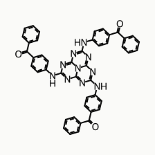 O=C(c1ccccc1)c1ccc(NC2=NC3=NC(Nc4ccc(C(=O)c5ccccc5)cc4)=NC4=NC(Nc5ccc(C(=O)c6ccccc6)cc5)=NC(=N2)N34)cc1